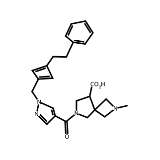 CN1CC2(C1)CN(C(=O)c1cnn(CC3=CC(CCc4ccccc4)=C3)c1)CC2C(=O)O